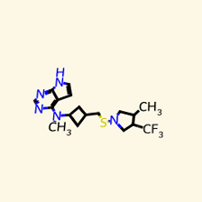 CC1CN(SCC2CC(N(C)c3ncnc4[nH]ccc34)C2)CC1C(F)(F)F